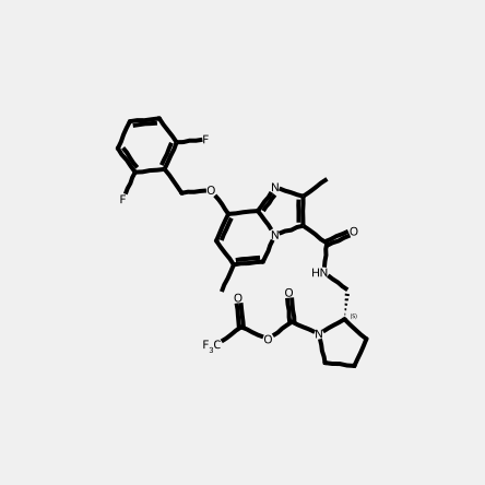 Cc1cc(OCc2c(F)cccc2F)c2nc(C)c(C(=O)NC[C@@H]3CCCN3C(=O)OC(=O)C(F)(F)F)n2c1